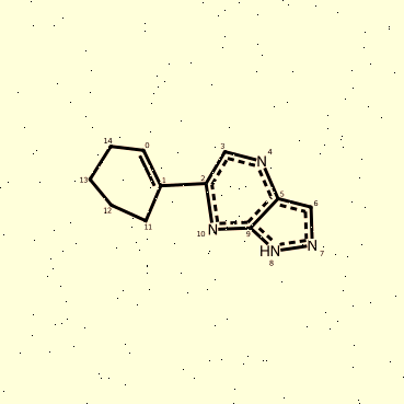 C1=C(c2cnc3cn[nH]c3n2)CCCC1